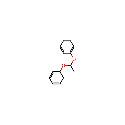 CC(OC1=CCCC=C1)OC1C=CC=CC1